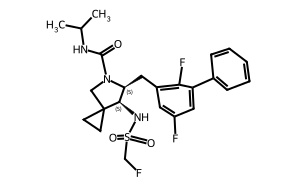 CC(C)NC(=O)N1CC2(CC2)[C@H](NS(=O)(=O)CF)[C@@H]1Cc1cc(F)cc(-c2ccccc2)c1F